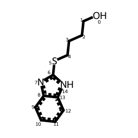 OCCCCSc1nc2ccccc2[nH]1